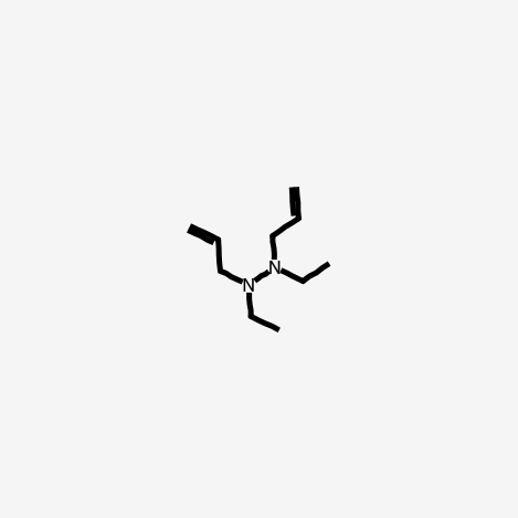 C=CCN(CC)N(CC)CC=C